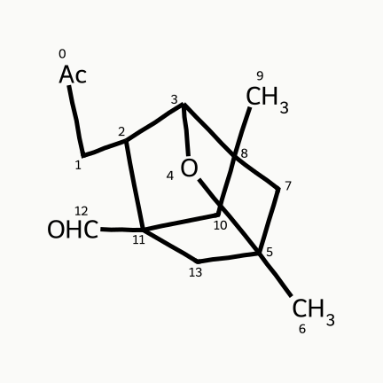 CC(=O)CC1C2OC3(C)CC2(C)CC1(C=O)C3